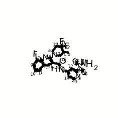 CC1CN(c2nc3c(F)cccc3cc2C(=O)Nc2ccnc(S(N)(=O)=O)c2)CCC1(F)F